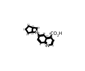 O=C(O)c1ccnc2ccc(N3CC4CCCC43)cc12